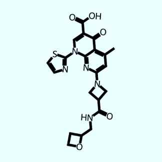 Cc1cc(N2CC(C(=O)NCC3CCO3)C2)nc2c1c(=O)c(C(=O)O)cn2-c1nccs1